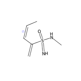 C=C(/C=C\C)S(=N)(=O)NC